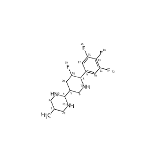 CC1CNC(C2CNC(c3cc(F)c(F)c(F)c3)C(F)C2)NC1